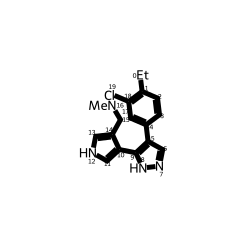 CCc1ccc(-c2cn[nH]c2-c2c[nH]cc2CNC)cc1Cl